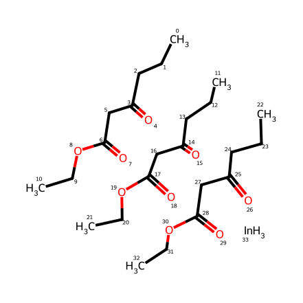 CCCC(=O)CC(=O)OCC.CCCC(=O)CC(=O)OCC.CCCC(=O)CC(=O)OCC.[InH3]